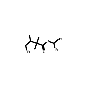 CC(C)CC(C)C(C)(C)C(=O)OC(C(C)C)C(C)C